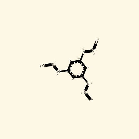 C=S=Nc1cc(N=S=O)cc(N=S=O)c1